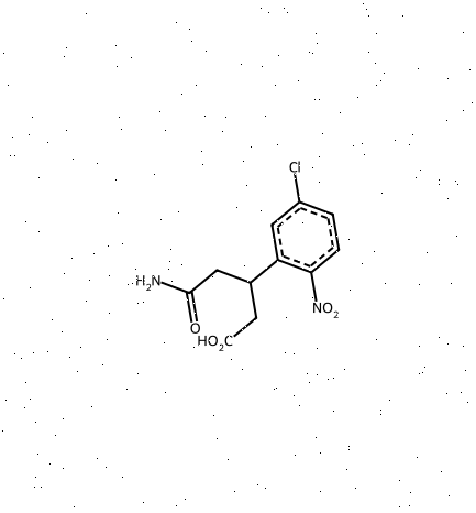 NC(=O)CC(CC(=O)O)c1cc(Cl)ccc1[N+](=O)[O-]